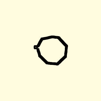 C1CCC[CH2][Cr][CH2]CC1